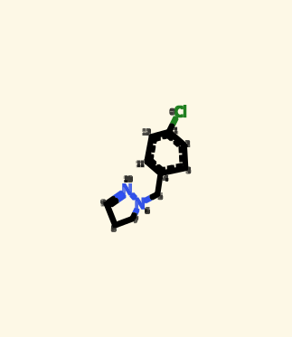 Clc1ccc(CN2CCC=N2)cc1